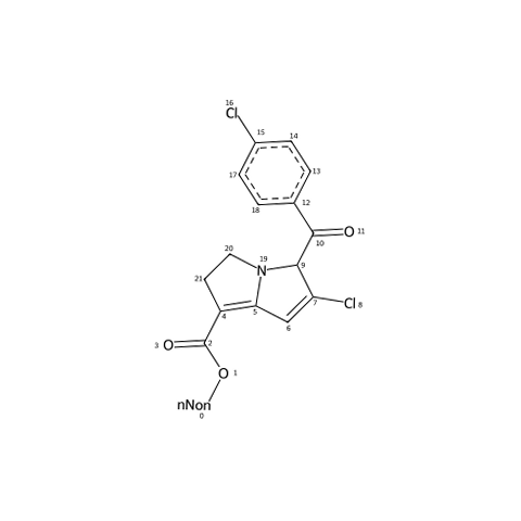 CCCCCCCCCOC(=O)C1=C2C=C(Cl)C(C(=O)c3ccc(Cl)cc3)N2CC1